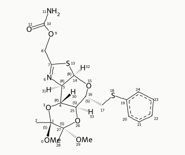 CO[C@@]1(C)O[C@@H]2[C@H]3N=C(COC(N)=O)S[C@H]3O[C@H](CSc3ccccc3)[C@H]2O[C@]1(C)OC